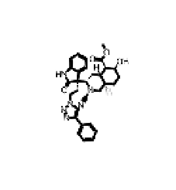 COC(=O)[C@@H]1[C@H]2C[C@@H]([C@@]3(CCn4cc(-c5ccccc5)nn4)C(=O)Nc4ccccc43)N(C#N)C[C@@H]2CC[C@@H]1O